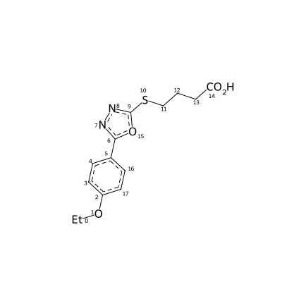 CCOc1ccc(-c2nnc(SCCCC(=O)O)o2)cc1